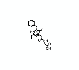 C=CC(=O)N[C@@H](Cc1ccccc1)C(=O)NCC(=O)NCC(=O)O